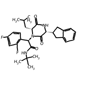 CC(C)C[C@@H]1C(=O)N[C@H](C2Cc3ccccc3C2)C(=O)N1[C@@H](C(=O)NC(C)(C)C)c1ccc(F)cc1F